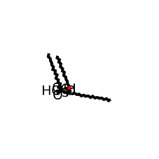 CCCCCCCCCCCCCCCCCC[C@H](CSC[C@@H](NC(=O)CCCCCCCCCCCCCCC)C(=O)O)OC(=O)CCCCCCCCCCCCCCC